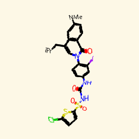 CNc1ccc2c(=O)n(-c3ccc(NC(=O)NS(=O)(=O)c4ccc(Cl)s4)cc3I)cc(CC(C)C)c2c1